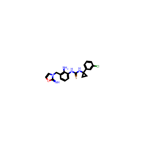 N=c1occn1Cc1cccc(NC(=S)NC2(c3cccc(Cl)c3)CC2)c1N